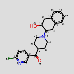 O=C(c1ccc(F)nc1)C1CCN(C2Cc3ccccc3CC2O)CC1